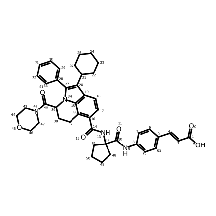 O=C(O)/C=C/c1ccc(NC(=O)C2(NC(=O)c3ccc4c(C5CCCCC5)c(-c5ccccc5)n5c4c3CCC5C(=O)N3CCOCC3)CCCC2)cc1